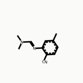 Cc1ccc(C#N)c(/N=C/N(C)C)c1